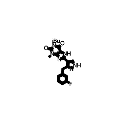 CCC(C)n1c(=O)c2[nH]c(-c3c[nH]nc3Cc3cccc(F)c3)nc2n(C)c1=O